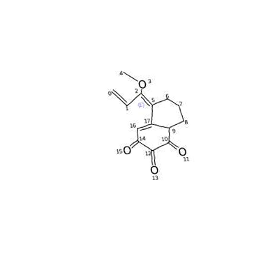 C=C/C(OC)=C1/CCCC2C(=O)C(=O)C(=O)C=C12